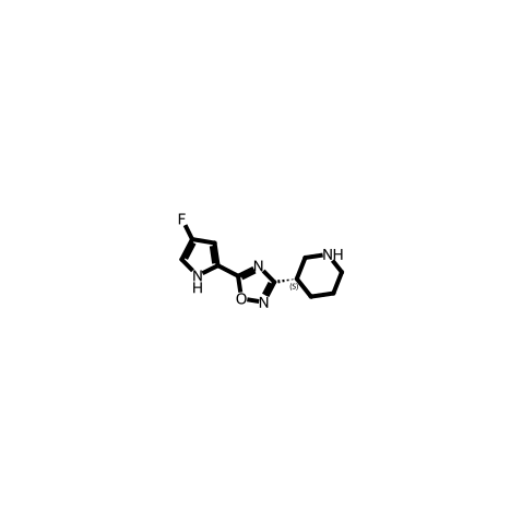 Fc1c[nH]c(-c2nc([C@H]3CCCNC3)no2)c1